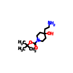 CC(C)(C)OC(=O)N1CCC(O)(CCN)CC1